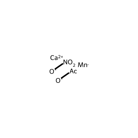 CC(=O)[O-].O=[N+]([O-])[O-].[Ca+2].[Mn]